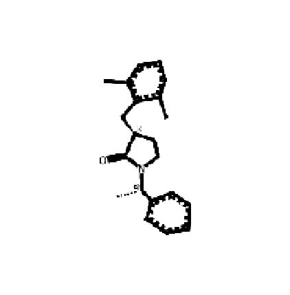 Cc1cccc(C)c1C[C@H]1CCN([C@@H](C)c2ccccc2)C1=O